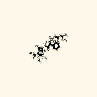 CC(C)OC(=O)NS(=O)(=O)NC(C(=O)N[C@@H]1C(=O)N2[C@@H]1SC(C)(C)[C@@H]2C(=O)O)c1ccccc1